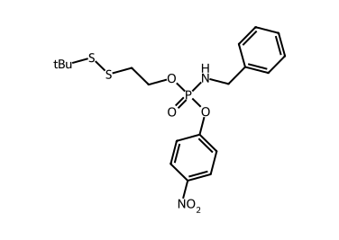 CC(C)(C)SSCCOP(=O)(NCc1ccccc1)Oc1ccc([N+](=O)[O-])cc1